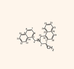 C=CCN(Cc1cccc2ccccc12)Cc1cccc2ccccc12